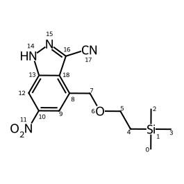 C[Si](C)(C)CCOCc1cc([N+](=O)[O-])cc2[nH]nc(C#N)c12